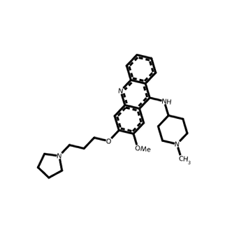 COc1cc2c(NC3CCN(C)CC3)c3ccccc3nc2cc1OCCCN1CCCC1